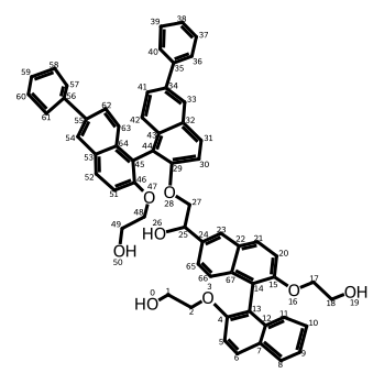 OCCOc1ccc2ccccc2c1-c1c(OCCO)ccc2cc(C(O)COc3ccc4cc(-c5ccccc5)ccc4c3-c3c(OCCO)ccc4cc(-c5ccccc5)ccc34)ccc12